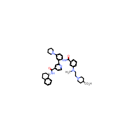 CN(CCN1CCC(C(=O)O)CC1)c1cccc(C(=O)Nc2ccc(N3CCCCC3)cc2-c2cc(C(=O)N[C@H]3CCCc4ccccc43)ccn2)c1